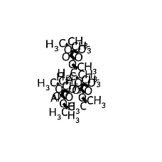 CC(C)OCC(=O)C(C)(OC(C)C)C(=O)[O-].CC(C)OCC(=O)C(C)(OC(C)C)C(=O)[O-].CC(C)OCC(=O)C(C)(OC(C)C)C(=O)[O-].[Al+3]